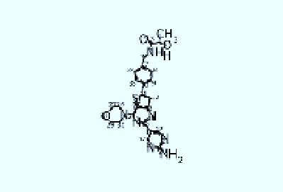 C[C@H](O)C(=O)NCc1ccc(-c2cc3nc(-c4cnc(N)nc4)nc(N4CCOCC4)c3s2)cc1